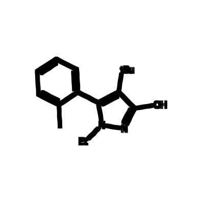 CCn1nc(O)c(C(C)(C)C)c1-c1ccccc1C